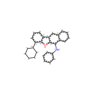 c1ccc(Nc2c3ccccc3cc3c2oc2c(C4CCCCC4)cccc23)cc1